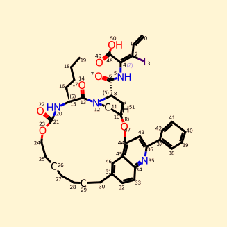 C=C/C(I)=C(/NC(=O)[C@@H]1C[C@@H]2CN1C(=O)[C@H](CCCC)NC(=O)OCCCCCCCc1ccc3nc(-c4ccccc4)cc(c3c1)O2)C(=O)O